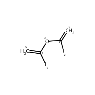 C=C(I)OC(=C)I